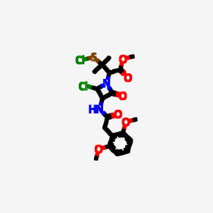 COC(=O)C(N1C(=O)C(NC(=O)Cc2c(OC)cccc2OC)C1Cl)C(C)(C)SCl